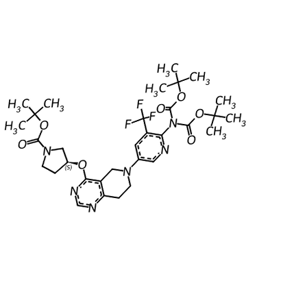 CC(C)(C)OC(=O)N1CC[C@H](Oc2ncnc3c2CN(c2cnc(N(C(=O)OC(C)(C)C)C(=O)OC(C)(C)C)c(C(F)(F)F)c2)CC3)C1